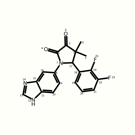 CC1(C)C(=O)C(=O)N(c2ccc3[nH]cnc3c2)C1c1cccc(F)c1F